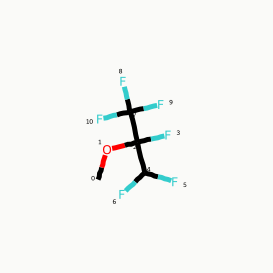 COC(F)(C(F)F)C(F)(F)F